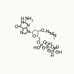 CN=[N+]=NCO[C@@H]1C[C@H](n2cnc3c(=O)[nH]c(N)nc32)O[C@@H]1COP(=O)(O)OP(=O)(O)OP(=O)(O)O